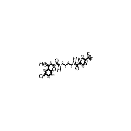 O=C(NCCCCNC(=O)[C@H]1C[C@@H](O)c2cc(Cl)ccc2O1)c1cnc(C(F)F)cn1